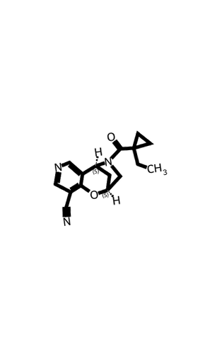 CCC1(C(=O)N2C[C@@H]3C[C@H]2c2cncc(C#N)c2O3)CC1